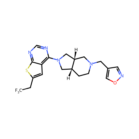 FC(F)(F)Cc1cc2c(N3C[C@H]4CCN(Cc5cnoc5)C[C@H]4C3)ncnc2s1